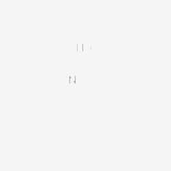 Cc1cccc(CC2=NCCc3ccccc32)c1